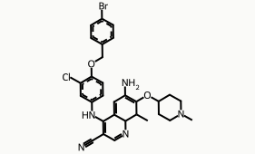 CC1C(OC2CCN(C)CC2)=C(N)C=C2C(Nc3ccc(OCc4ccc(Br)cc4)c(Cl)c3)=C(C#N)C=NC21